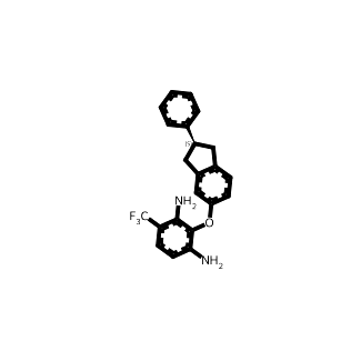 Nc1ccc(C(F)(F)F)c(N)c1Oc1ccc2c(c1)C[C@@H](c1ccccc1)C2